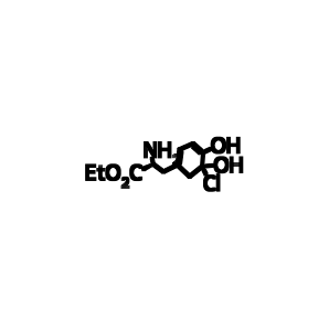 CCOC(=O)[C@@H](N)CC1=CC=C(O)C(O)(Cl)C1